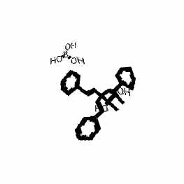 CC(C)(O)C(C)(O)C(C=Cc1ccccc1)(C=Cc1ccccc1)C=Cc1ccccc1.OB(O)O